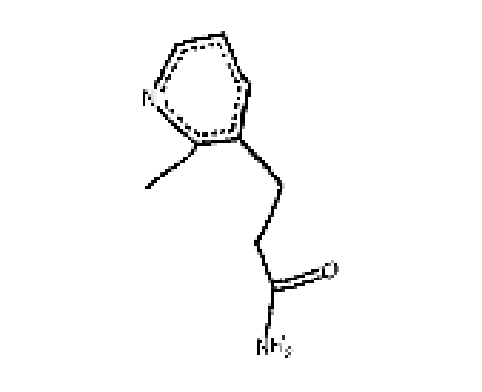 Cc1ncccc1CCC(N)=O